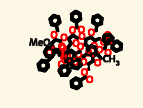 COC1C(OCc2ccccc2)[C@@H](OC2C(OC(=O)c3ccccc3)[C@H](O[C@@H]3C(OCc4ccccc4)[C@@H](OC4C(OC(=O)c5ccccc5)[C@H](C)O[C@H]4[C@@H](COC(=O)c4ccccc4)OC(=O)c4ccccc4)OC(COC(=O)c4ccccc4)[C@@H]3OCc3ccccc3)O[C@H]2[C@@H](COC(=O)c2ccccc2)OC(=O)c2ccccc2)OC(COC(=O)c2ccccc2)[C@@H]1OCc1ccccc1